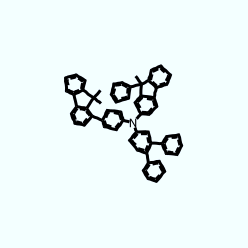 CC1(C)c2ccccc2-c2cccc(-c3ccc(N(c4ccc(-c5ccccc5)c(-c5ccccc5)c4)c4ccc5c(c4)C(C)(c4ccccc4)c4ccccc4-5)cc3)c21